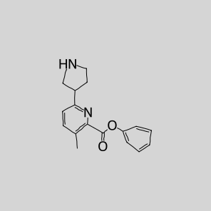 Cc1ccc(C2CCNCC2)nc1C(=O)Oc1ccccc1